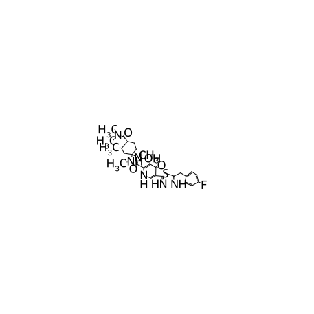 CNC1(N(C)C(=O)c2[nH]cc(C(=N)SC(=N)Cc3ccc(F)cc3)c(=O)c2O)CC[C@H](C(=O)N(C)C)[C@H](C)C1